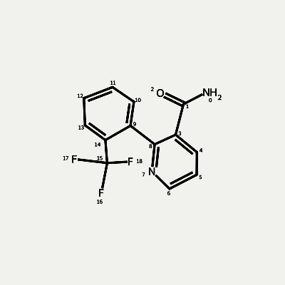 NC(=O)c1cccnc1-c1ccccc1C(F)(F)F